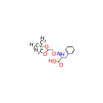 CC(C)(C)OC(=O)CONC(Cc1ccccc1)C(=O)O